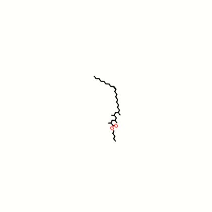 CCCCCCCC/C=C\CCCCCCCCC(C)CC(C)CC(C)CC(C)C(=O)OCCCCC